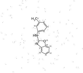 Cc1cccc(Nc2nc3ccccc3o2)c1